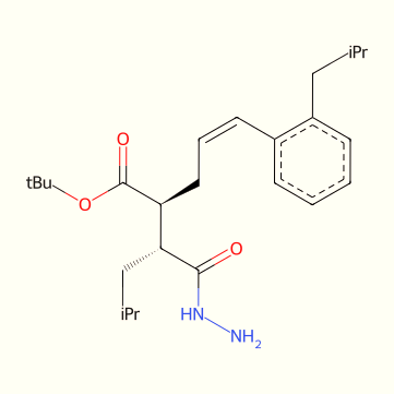 CC(C)Cc1ccccc1/C=C\C[C@H](C(=O)OC(C)(C)C)[C@@H](CC(C)C)C(=O)NN